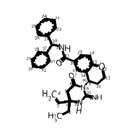 CCC1(CC)CC(=O)N([C@@H]2CCOc3ccc(C(=O)NC(c4ccccc4)c4ccccc4)cc32)C(=N)N1